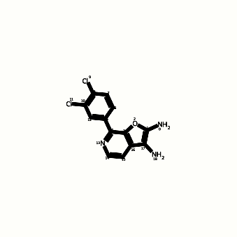 Nc1oc2c(-c3ccc(Cl)c(Cl)c3)nccc2c1N